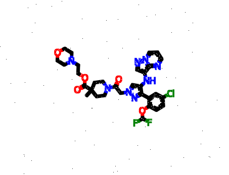 CC1(C(=O)OCCN2CCOCC2)CCN(C(=O)Cn2cc(Nc3cnn4cccnc34)c(-c3cc(Cl)ccc3OC(F)F)n2)CC1